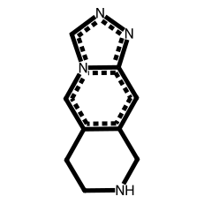 c1c2c(cn3cnnc13)CCNC2